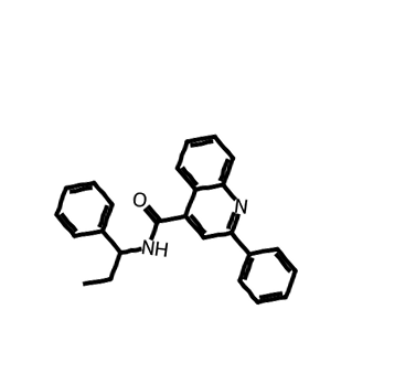 CCC(NC(=O)c1cc(-c2ccccc2)nc2ccccc12)c1ccccc1